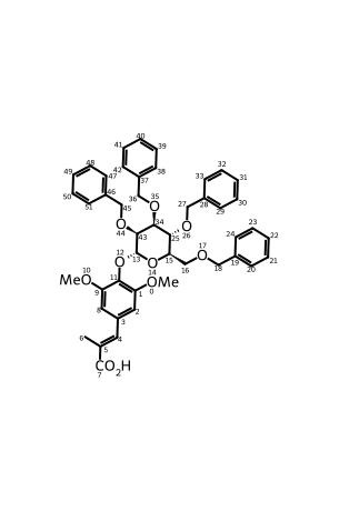 COc1cc(C=C(C)C(=O)O)cc(OC)c1O[C@H]1O[C@H](COCc2ccccc2)[C@@H](OCc2ccccc2)[C@H](OCc2ccccc2)[C@@H]1OCc1ccccc1